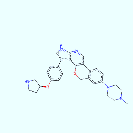 CN1CCN(c2ccc3c(c2)COc2c-3cnc3[nH]cc(-c4ccc(O[C@H]5CCNC5)cc4)c23)CC1